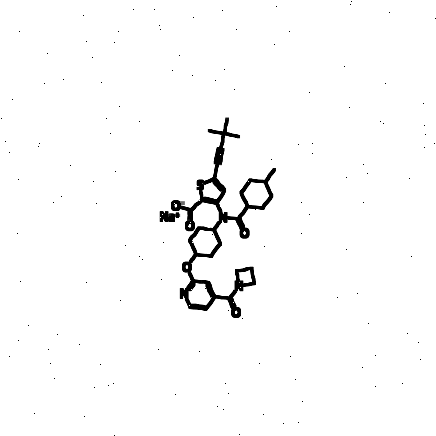 CC1CCC(C(=O)N(c2cc(C#CC(C)(C)C)sc2C(=O)[O-])C2CCC(Oc3cc(C(=O)N4CCC4)ccn3)CC2)CC1.[Na+]